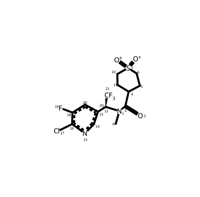 CN(C(=O)C1CCS(=O)(=O)CC1)[C@@H](c1cnc(Cl)c(F)c1)C(F)(F)F